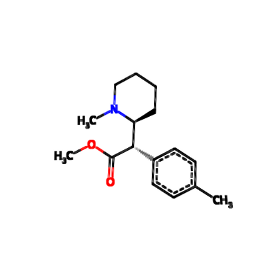 COC(=O)[C@@H](c1ccc(C)cc1)[C@@H]1CCCCN1C